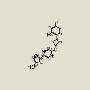 Cc1ccc([C@H]2C[C@H](Oc3cnc(-c4cc(O)no4)cn3)C2)c(F)c1